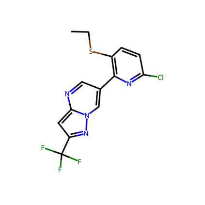 CCSc1ccc(Cl)nc1-c1cnc2cc(C(F)(F)F)nn2c1